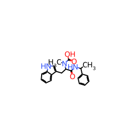 CC(NC(=O)C(Cc1c[nH]c2ccccc12)N(C)C(=O)O)c1ccccc1